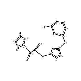 O=C(Cc1cc(Cc2cccc(F)c2)cs1)C(=O)c1nc[nH]n1